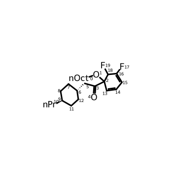 CCCCCCCCOC1(C(=O)C[C@H]2CC[C@H](CCC)CC2)C=CC=C(F)C1F